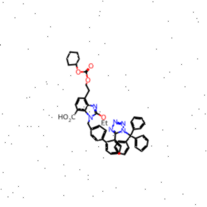 CCOc1nc2c(CCOC(=O)OC3CCCCC3)ccc(C(=O)O)c2n1Cc1ccc(-c2ccccc2-c2nnnn2C(c2ccccc2)(c2ccccc2)c2ccccc2)cc1